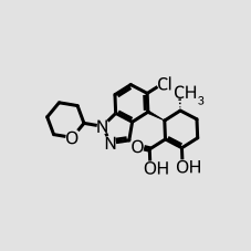 C[C@@H]1CCC(O)=C(C(=O)O)[C@H]1c1c(Cl)ccc2c1cnn2C1CCCCO1